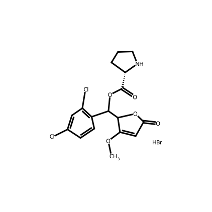 Br.COC1=CC(=O)OC1C(OC(=O)[C@@H]1CCCN1)c1ccc(Cl)cc1Cl